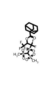 CS(=O)(=O)C(S(C)(=O)=O)S(=O)(=O)C(F)(F)C(OC(=O)C12CC3CC(CC(C3)C1)C2)C(F)(F)F